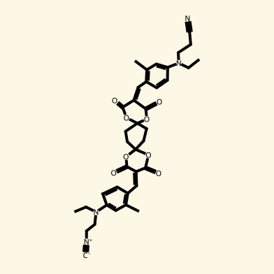 [C-]#[N+]CCN(CC)c1ccc(C=C2C(=O)OC3(CCC4(CC3)OC(=O)C(=Cc3ccc(N(CC)CCC#N)cc3C)C(=O)O4)OC2=O)c(C)c1